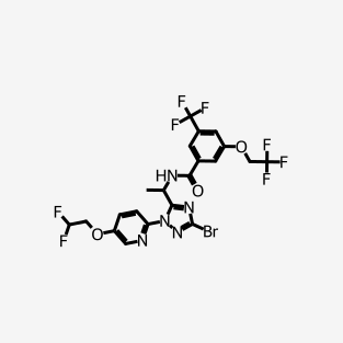 CC(NC(=O)c1cc(OCC(F)(F)F)cc(C(F)(F)F)c1)c1nc(Br)nn1-c1ccc(OCC(F)F)cn1